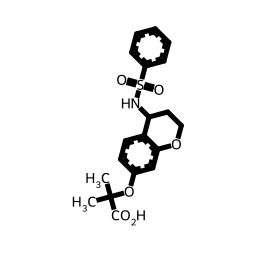 CC(C)(Oc1ccc2c(c1)OCCC2NS(=O)(=O)c1ccccc1)C(=O)O